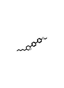 CCCCCC1CCC(c2ccc(-c3ccc(OCC)cc3)cc2)OC1